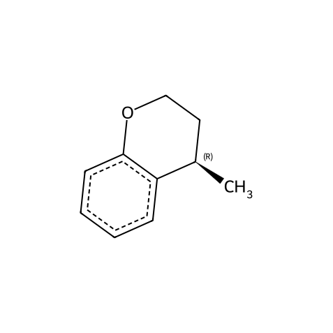 C[C@@H]1CCOc2ccccc21